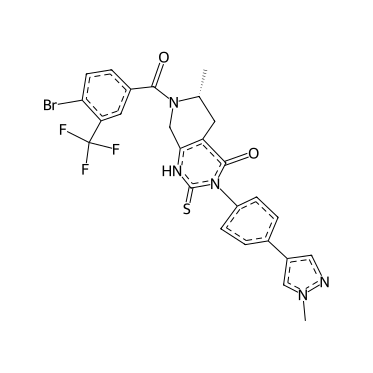 C[C@@H]1Cc2c([nH]c(=S)n(-c3ccc(-c4cnn(C)c4)cc3)c2=O)CN1C(=O)c1ccc(Br)c(C(F)(F)F)c1